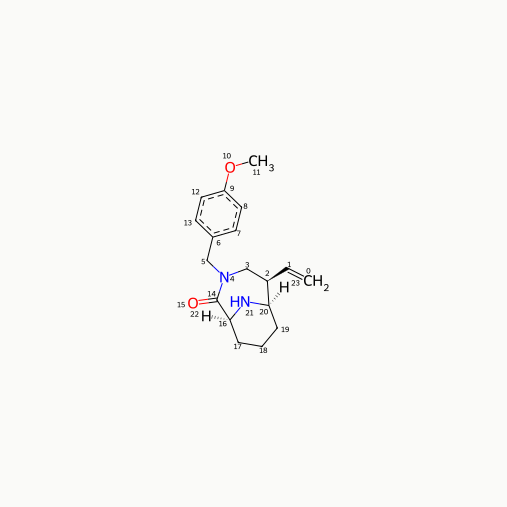 C=C[C@@H]1CN(Cc2ccc(OC)cc2)C(=O)[C@@H]2CCC[C@H]1N2